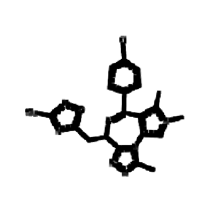 Cc1c2c(cn1C)-n1c(C)nnc1C(Cc1nc(C(C)(C)C)no1)N=C2c1ccc(Cl)cc1